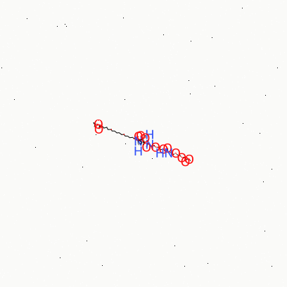 C=C(C)OC(=O)CCCCCCCCCCCCCCCCC(=O)N[C@@H](CCC(=O)NCCOCCOCC(=O)NCCOCCOCC(=O)OC)C(=O)OC